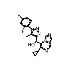 Cc1c(C(O)c2c(C3CC3)ncc3cncn23)nnn1-c1ccc(F)cc1F